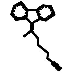 C#CCCCCC(C)=C1c2ccccc2-c2ccccc21